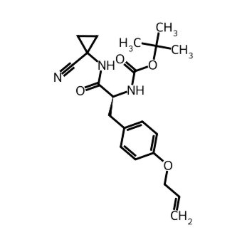 C=CCOc1ccc(C[C@H](NC(=O)OC(C)(C)C)C(=O)NC2(C#N)CC2)cc1